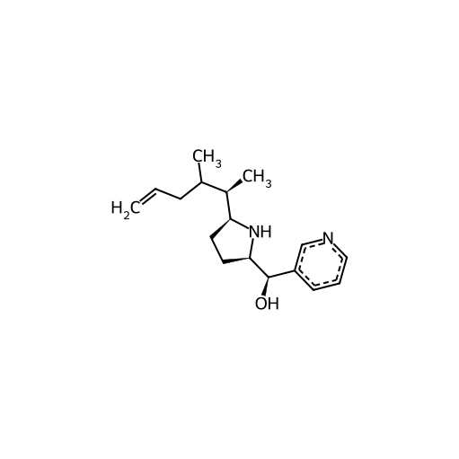 C=CCC(C)[C@@H](C)[C@@H]1CC[C@H]([C@H](O)c2cccnc2)N1